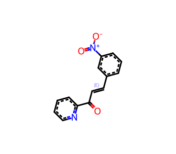 O=C(/C=C/c1cccc([N+](=O)[O-])c1)c1ccccn1